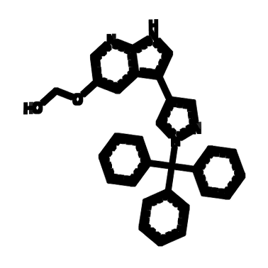 OCOc1cnc2[nH]cc(-c3cnn(C(c4ccccc4)(c4ccccc4)c4ccccc4)c3)c2c1